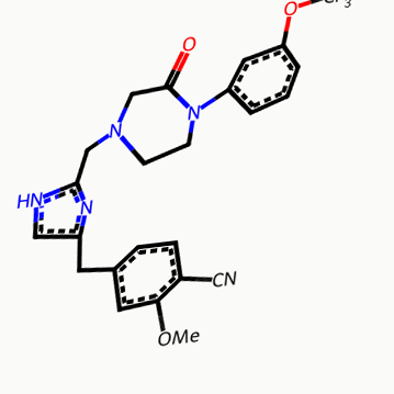 COc1cc(Cc2c[nH]c(CN3CCN(c4cccc(OC(F)(F)F)c4)C(=O)C3)n2)ccc1C#N